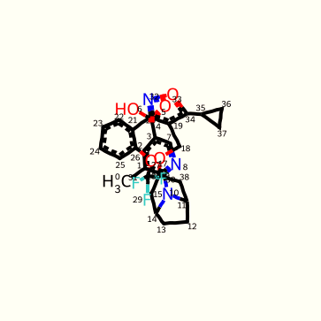 Cc1cc(C(=O)O)cnc1N1C2CCC1CC(OCc1c(-c3ccccc3OC(F)(F)F)noc1C1CC1)C2